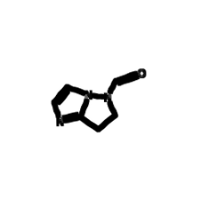 O=CN1CCc2nccn21